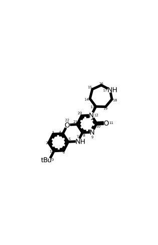 CC(C)(C)c1ccc2c(c1)Nc1nc(=O)n(C3CCCNCC3)cc1O2